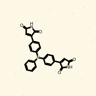 O=C1C=C(c2ccc(N(c3ccccc3)c3ccc(C4=CC(=O)NC4=O)cc3)cc2)C(=O)N1